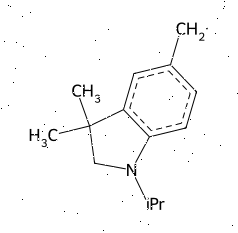 [CH2]c1ccc2c(c1)C(C)(C)CN2C(C)C